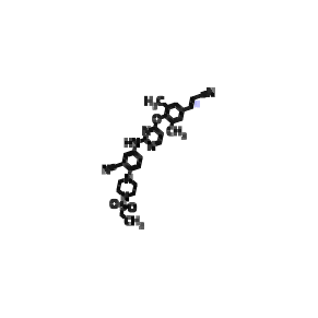 CCS(=O)(=O)N1CCN(c2ccc(Nc3nccc(Oc4c(C)cc(/C=C/C#N)cc4C)n3)cc2C#N)CC1